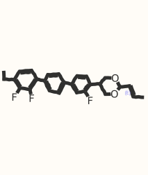 C/C=C/C1OCC(c2ccc(-c3ccc(-c4ccc(CC)c(F)c4F)cc3)cc2F)CO1